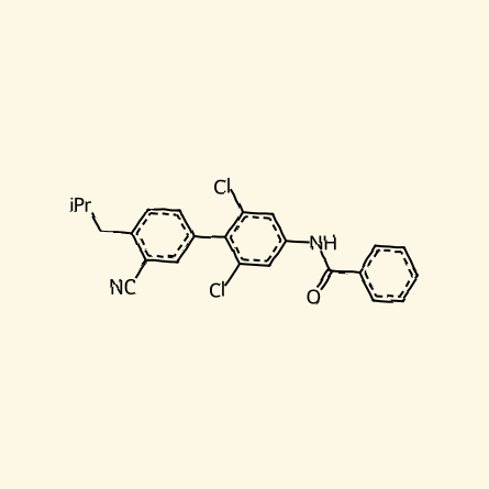 CC(C)Cc1ccc(-c2c(Cl)cc(NC(=O)c3ccccc3)cc2Cl)cc1C#N